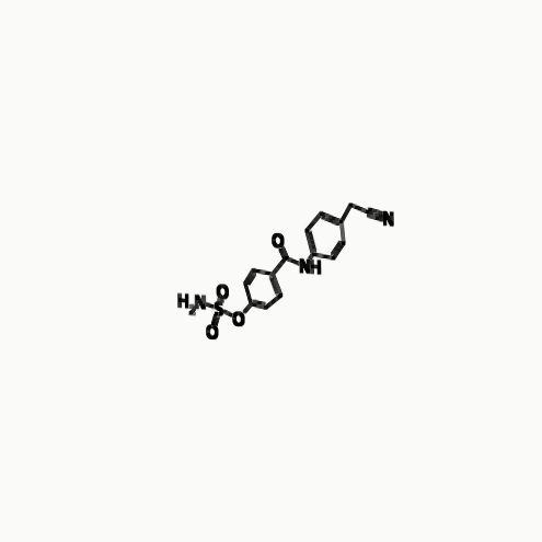 N#CCc1ccc(NC(=O)c2ccc(OS(N)(=O)=O)cc2)cc1